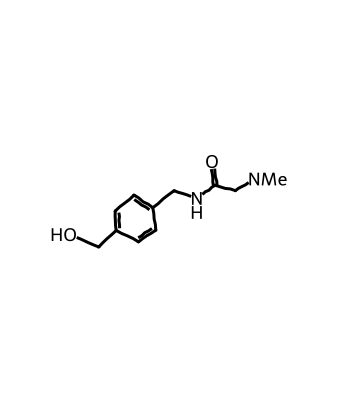 CNCC(=O)NCc1ccc(CO)cc1